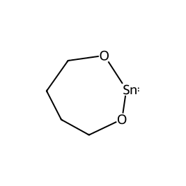 C1CC[O][Sn][O]C1